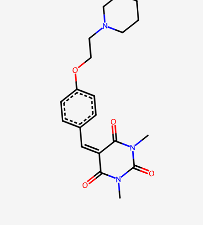 CN1C(=O)C(=Cc2ccc(OCCN3CCCCC3)cc2)C(=O)N(C)C1=O